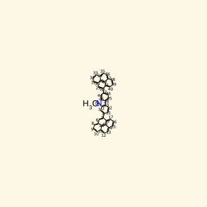 Cn1c2cc(-c3cc4cccc5ccc6cccc3c6c54)ccc2c2ccc(-c3cc4cccc5ccc6cccc3c6c54)cc21